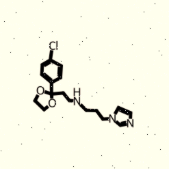 Clc1ccc(C2(CCNCCCn3ccnc3)OCCO2)cc1